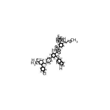 COCCNc1ccc(S(=O)(=O)NC(=O)c2ccc(N3CCN(CC4=C(c5ccc(Cl)cc5)CC(C)(C)CC4)CC3)cc2Oc2cnc3[nH]ccc3c2)cc1S(=O)(=O)C(F)(F)F